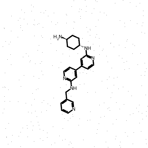 N[C@H]1CC[C@H](Nc2cc(-c3ccnc(NCc4cccnc4)c3)ccn2)CC1